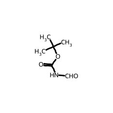 CC(C)(C)OC(=O)NC=O